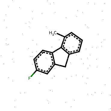 Cc1cccc2c1-c1ccc(F)cc1C2